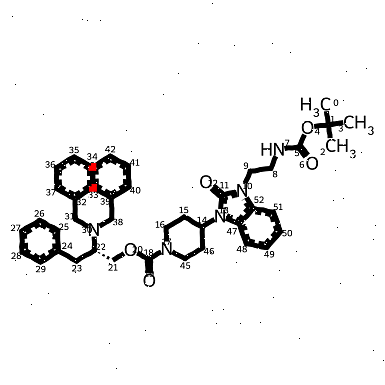 CC(C)(C)OC(=O)NCCn1c(=O)n(C2CCN(C(=O)OC[C@H](Cc3ccccc3)N(Cc3ccccc3)Cc3ccccc3)CC2)c2ccccc21